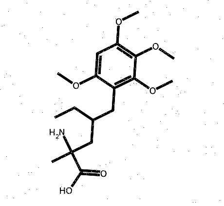 CCC(Cc1c(OC)cc(OC)c(OC)c1OC)CC(C)(N)C(=O)O